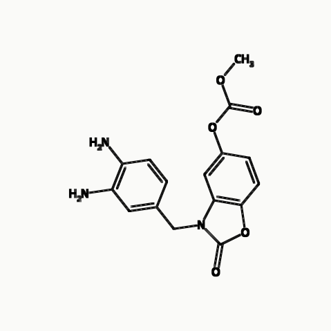 COC(=O)Oc1ccc2oc(=O)n(Cc3ccc(N)c(N)c3)c2c1